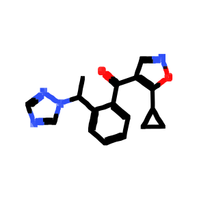 CC(c1ccccc1C(=O)c1cnoc1C1CC1)n1cncn1